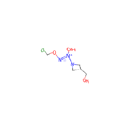 OCC1CN(/[N+](O)=N/OCCl)C1